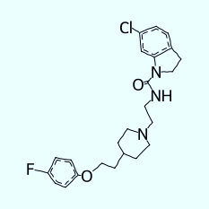 O=C(NCCN1CCC(CCOc2ccc(F)cc2)CC1)N1CCc2ccc(Cl)cc21